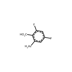 O=C(O)c1c(F)cc(F)cc1[AsH2]